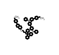 C=Cc1ccc(-c2ccc3cc(OCCCCC4(c5ccccc5)c5ccccc5-c5ccc(N(c6ccccc6)c6ccc(-c7ccc8c(c7)c7cc(-c9ccc(C=C)cc9)ccc7n8-c7ccccc7)cc6)cc54)ccc3c2)cc1